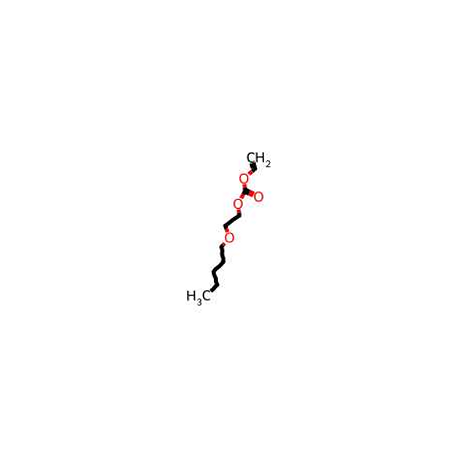 C=COC(=O)OCCOCCCCC